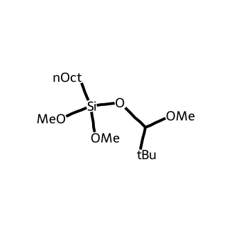 CCCCCCCC[Si](OC)(OC)OC(OC)C(C)(C)C